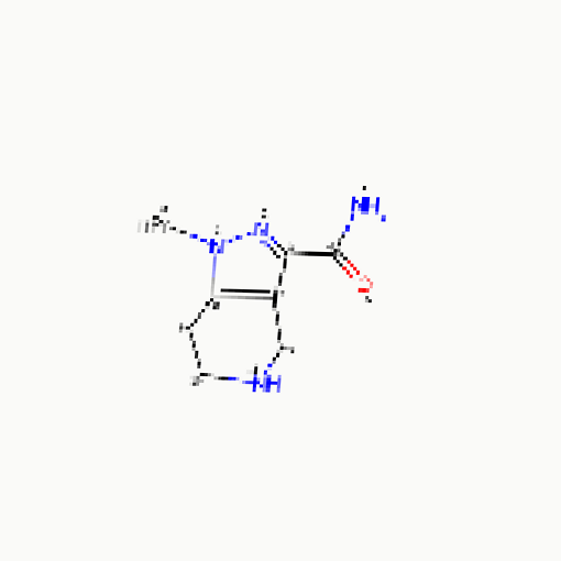 CCCn1nc(C(N)=O)c2c1CCNC2